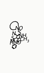 CC1=C(C(=O)Nc2ccccc2)C(c2cccs2)C(C#N)=C(SCC(=O)N2CCCCCCCCCCC2)N1